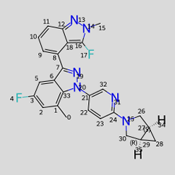 Cc1cc(F)cc2c(-c3cccc4nn(C)c(F)c34)nn(-c3ccc(N4C[C@H]5C[C@H]5C4)nc3)c12